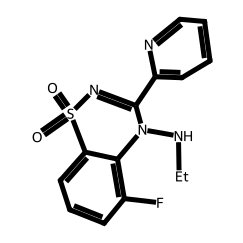 CCNN1C(c2ccccn2)=NS(=O)(=O)c2cccc(F)c21